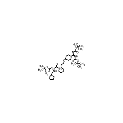 CC(C)(C)OC(=O)C[C@H](NCC1CCCC1)C(=O)N1CCCC[C@H]1CCOC1CCN(C(=NC(=O)OC(C)(C)C)NC(=O)OC(C)(C)C)CC1